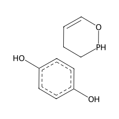 C1=COPCC1.Oc1ccc(O)cc1